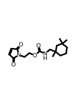 CC1(C)C[CH]CC(C)(CNC(=O)OCCN2C(=O)C=CC2=O)C1